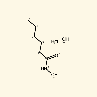 CCCCCC(=O)NO.Cl.Cl